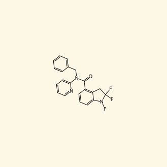 O=C(c1cccc2c1CC(F)(F)N2F)N(Cc1ccccc1)c1ccccn1